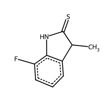 CC1C(=S)Nc2c(F)cccc21